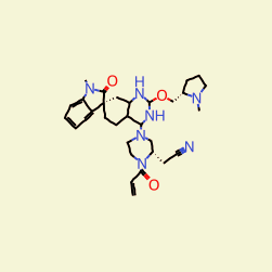 C=CC(=O)N1CCN(C2NC(OC[C@@H]3CCCN3C)NC3C[C@@]4(CCC32)C(=O)N(C)c2ccccc24)C[C@@H]1CC#N